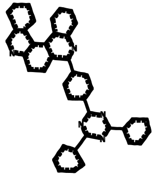 c1ccc(-c2nc(-c3ccccc3)nc(-c3ccc(-c4nc5ccccc5c5c4ccc4ncc6ccccc6c45)cc3)n2)cc1